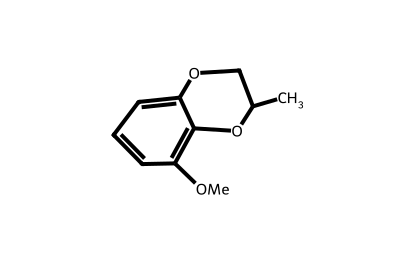 COc1cccc2c1OC(C)CO2